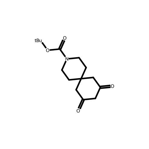 CC(C)(C)OC(=O)N1CCC2(CC1)CC(=O)CC(=O)C2